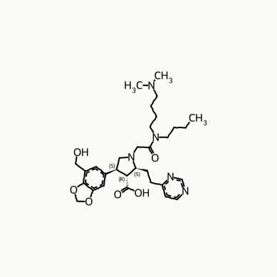 CCCCN(CCCCN(C)C)C(=O)CN1C[C@H](c2cc(CO)c3c(c2)OCO3)[C@@H](C(=O)O)[C@@H]1CCc1ccncn1